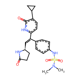 CN(C)S(=O)(=O)Nc1ccc(/C(=C\[C@H]2CCC(=O)N2)c2ccc(C3CC3)c(=O)[nH]2)cc1